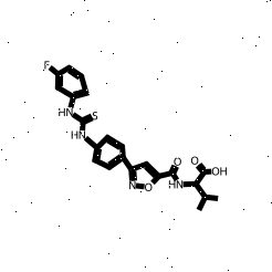 CC(C)C(NC(=O)c1cc(-c2ccc(NC(=S)Nc3cccc(F)c3)cc2)no1)C(=O)O